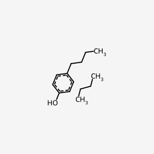 CCCC.CCCCc1ccc(O)cc1